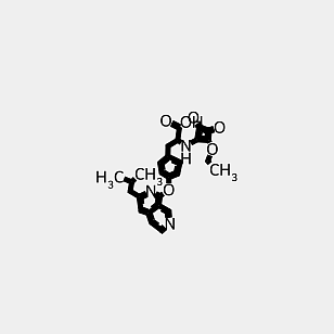 CCOc1c(NC(Cc2ccc(Oc3nc(CC(C)C)cc4ccncc34)cc2)C(=O)O)c(=O)c1=O